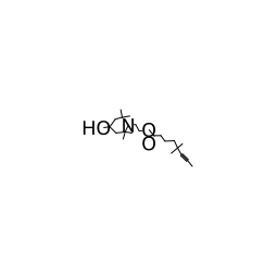 CC#CC(C)(C)CCCC(=O)OCCN1C(C)(C)CC(O)CC1(C)C